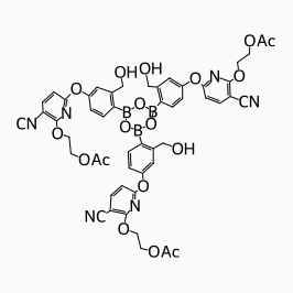 [C-]#[N+]c1ccc(Oc2ccc(B3OB(c4ccc(Oc5ccc(C#N)c(OCCOC(C)=O)n5)cc4CO)OB(c4ccc(Oc5ccc(C#N)c(OCCOC(C)=O)n5)cc4CO)O3)c(CO)c2)nc1OCCOC(C)=O